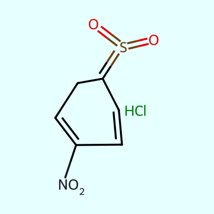 Cl.O=[N+]([O-])C1=CCC(=S(=O)=O)C=C1